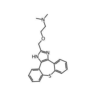 CN(C)CCOCc1nc2c([nH]1)-c1ccccc1Sc1ccccc1-2